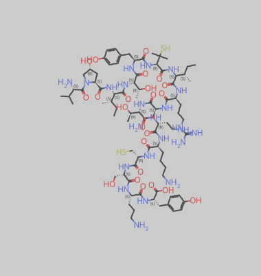 CC[C@H](C)[C@H](NC(=O)[C@@H](NC(=O)[C@H](Cc1ccc(O)cc1)NC(=O)[C@@H](NC(=O)[C@@H](NC(=O)[C@@H]1C[C@@H](O)CN1C(=O)[C@@H](N)C(C)C)[C@@H](C)CC)[C@@H](C)O)C(C)(C)S)C(=O)N[C@@H](CCCNC(=N)N)C(=O)N[C@@H](CCN)C(=O)N[C@H](C(=O)N[C@H](CCN)C(=O)N[C@@H](CCCCN)C(=O)N[C@@H](CS)C(=O)N[C@@H](CO)C(=O)N[C@@H](CCCN)C(=O)N[C@@H](Cc1ccc(O)cc1)C(=O)O)[C@@H](C)O